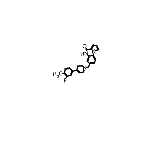 Cc1ccc(C2=CCN(Cc3ccc4c(c3)[nH]c(=O)c3cccn34)CC2)cc1F